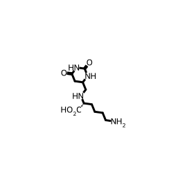 NCCCC[C@@H](NCC1CC(=O)NC(=O)N1)C(=O)O